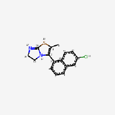 CC1=C(c2cccc3cc(Cl)ccc23)N2CCN=C2S1